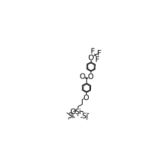 C[Si](C)(C)C[Si](C)(CCCOc1ccc(C(=O)Oc2ccc(OC(F)(F)F)cc2)cc1)O[Si](C)(C)C